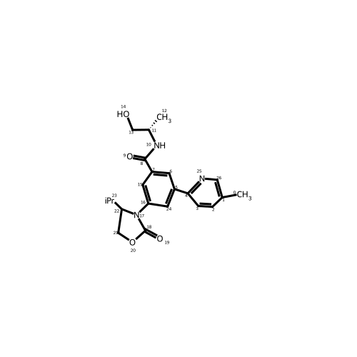 Cc1ccc(-c2cc(C(=O)N[C@@H](C)CO)cc(N3C(=O)OCC3C(C)C)c2)nc1